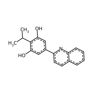 CC(C)c1c(O)cc(-c2ccc3ccccc3n2)cc1O